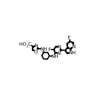 O=C(O)c1coc(N[C@@H]2CCCC(Nc3nc(-c4c[nH]c5ncc(F)cc45)ncc3F)C2)n1